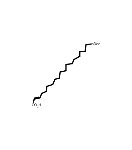 CCCCCCCCCCCCCCCCCCCCCCCCC/C=C/C(=O)O